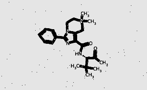 CC(=O)[C@@H](NC(=O)c1nc(-c2ccccc2)n2c1C[N+](C)(C)CC2)C(C)(C)C